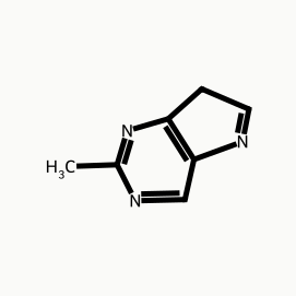 Cc1ncc2c(n1)CC=N2